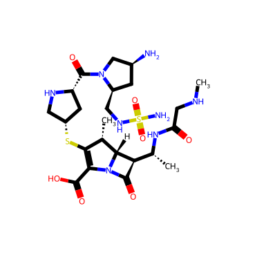 CNCC(=O)N[C@H](C)[C@H]1C(=O)N2C(C(=O)O)=C(S[C@@H]3CN[C@H](C(=O)N4C[C@@H](N)C[C@H]4CNS(N)(=O)=O)C3)[C@H](C)[C@H]12